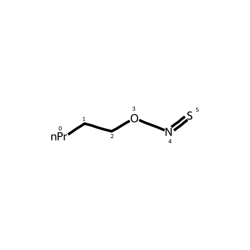 CCCCCON=S